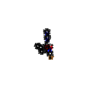 CCOc1nc2ccc(Br)cc2cc1C(c1ccccc1)C(O)(CCCCN1CCC(N2CCCCC2)CC1)c1ccc2ccccc2c1